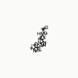 C[C@@H](OC(=O)Nc1c(-c2ccc(NC(=O)[C@@H]3C[C@H]3Cl)cn2)nnn1C)c1cc(F)cnc1F